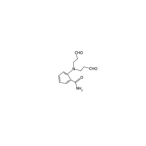 NC(=O)c1ccccc1N(CCC=O)CCC=O